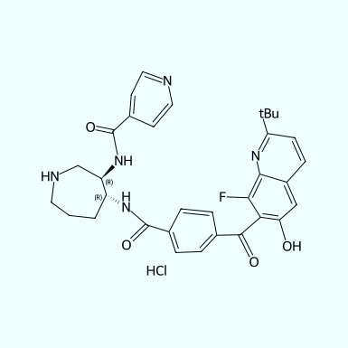 CC(C)(C)c1ccc2cc(O)c(C(=O)c3ccc(C(=O)N[C@@H]4CCCNC[C@H]4NC(=O)c4ccncc4)cc3)c(F)c2n1.Cl